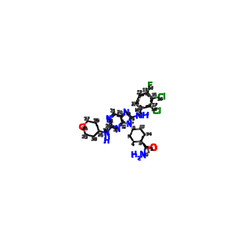 NC(=O)[C@H]1CC[C@H](n2c(Nc3ccc(F)c(Cl)c3Cl)nc3cnc(NC4CCOCC4)nc32)CC1